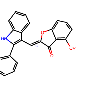 O=C1/C(=C/c2c(-c3ccccc3)[nH]c3ccccc23)Oc2cccc(O)c21